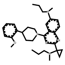 CCCN(C)c1ccc2nc(C3(N(C)CCC)CC3)nc(N3CCC(c4ccccc4OC)CC3)c2c1